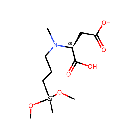 CO[Si](C)(CCCN(C)[C@@H](CC(=O)O)C(=O)O)OC